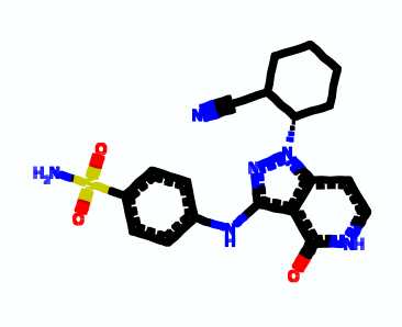 N#CC1CCCC[C@@H]1n1nc(Nc2ccc(S(N)(=O)=O)cc2)c2c(=O)[nH]ccc21